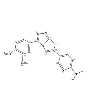 COc1ccc(-c2nnc3sc(-c4ccc(N(C)C)cc4)nn23)cc1OC